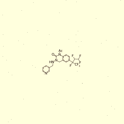 CC(=O)N1C(=O)N(NCc2cccnc2)Cc2cc(C(F)(C(F)C(F)F)C(F)(F)F)ccc21